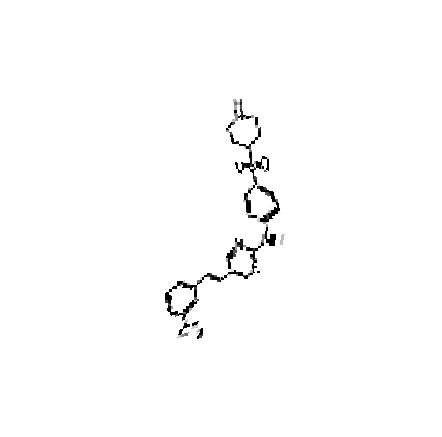 O=S(=O)(c1ccc(Nc2ncc(C=Cc3cccc(C(F)(F)F)c3)cn2)cc1)C1CCNCC1